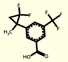 CC1(c2cc(C(=O)O)cc(C(F)(F)F)c2)CC1(F)F